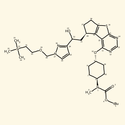 CN(C(=O)OC(C)(C)C)[C@H]1CC[C@H](Oc2ncnc3sc4c(c23)[C@@H](CC(O)c2ccn(COCC[Si](C)(C)C)n2)CC4)CC1